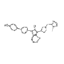 Cn1ccnc1CN1CCC(n2c(=O)n(-c3ccc(-c4ccc(O)cc4)cc3)c3cccnc32)C1